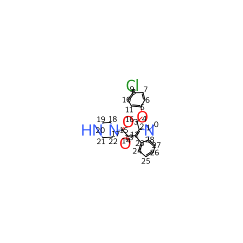 Cn1c(COc2ccc(Cl)cc2)c(C(=O)C(=O)N2CCNCC2)c2ccccc21